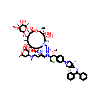 CC[C@H]1OC(=O)[C@H](C)[C@@H](O[C@H]2C[C@@](C)(OC)[C@@H](O)[C@H](C)O2)[C@H](C)[C@@H](O[C@@H]2O[C@H](C)C[C@H](N(C)CC/C(N)=C/N(N)[C@H](CF)[C@H](OC)c3ccc(N4C[C@@H]5[C@H](C4)[C@H]5N=C(c4ccccc4)c4ccccc4)cc3)[C@H]2O)[C@](C)(O)C[C@@H](C)CN(C)[C@H](C)[C@@H](O)[C@]1(C)O